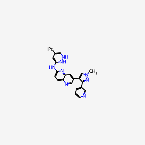 CC(C)C1=CNNC(Nc2ccc3ncc(-c4cn(C)nc4-c4cccnc4)cc3n2)=C1